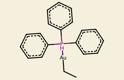 C[CH2][Au][PH](c1ccccc1)(c1ccccc1)c1ccccc1